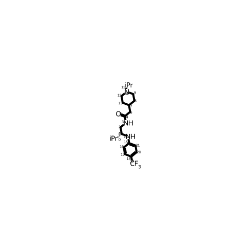 CC(C)[C@H](CNC(=O)CC1CCN(C(C)C)CC1)Nc1ccc(C(F)(F)F)cc1